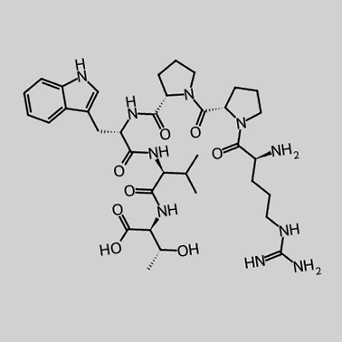 CC(C)[C@H](NC(=O)[C@H](Cc1c[nH]c2ccccc12)NC(=O)[C@@H]1CCCN1C(=O)[C@@H]1CCCN1C(=O)[C@@H](N)CCCNC(=N)N)C(=O)N[C@H](C(=O)O)[C@@H](C)O